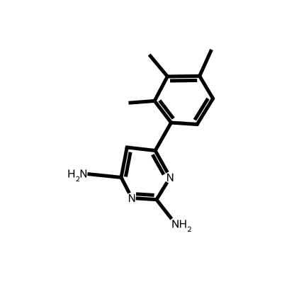 Cc1ccc(-c2cc(N)nc(N)n2)c(C)c1C